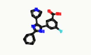 O=C(O)c1cc(F)cc(-c2[nH]c(-c3ccccc3)nc2-c2ccncc2)c1